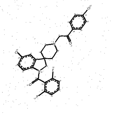 O=C(CN1CCC2(CC1)CN(C(=O)c1c(F)cccc1F)c1ccc(Cl)cc12)c1ccc(Cl)cc1